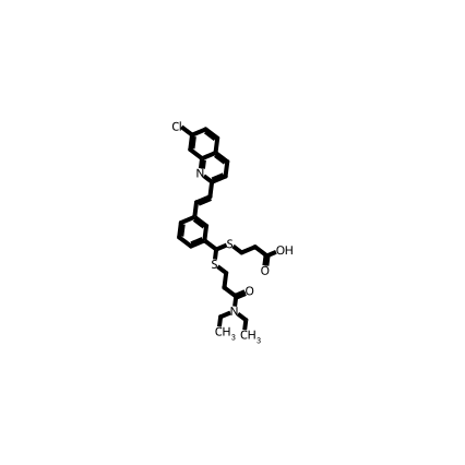 CCN(CC)C(=O)CCSC(SCCC(=O)O)c1cccc(C=Cc2ccc3ccc(Cl)cc3n2)c1